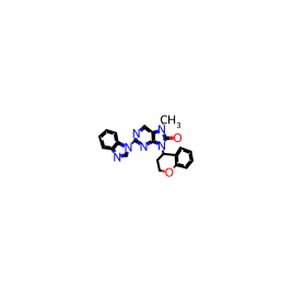 Cn1c(=O)n(C2CCOc3ccccc32)c2nc(-n3cnc4ccccc43)ncc21